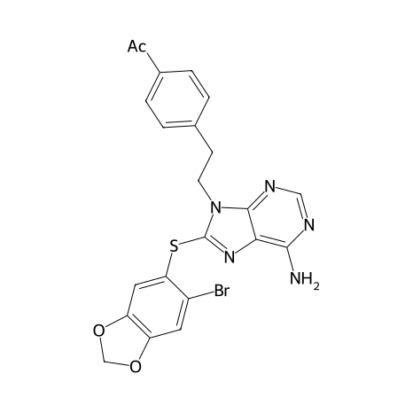 CC(=O)c1ccc(CCn2c(Sc3cc4c(cc3Br)OCO4)nc3c(N)ncnc32)cc1